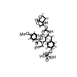 COc1ccc(S(=O)(=O)N(CC(C)C)C[C@@H](O)[C@H](Cc2ccc(ONP(=O)(O)O)cc2)NC(=O)O[C@H]2CO[C@H]3OCC[C@H]32)cc1